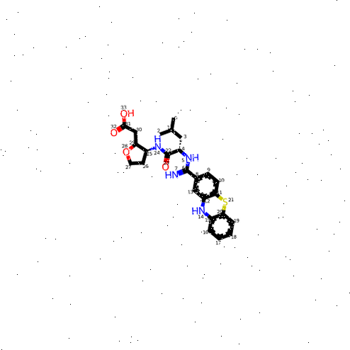 CC(C)C[C@H](NC(=N)c1ccc2c(c1)Nc1ccccc1S2)C(=O)N[C@H]1CCOC1CC(=O)O